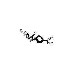 CCCC(CCC)c1ccc(NC(=O)NCC(F)(F)F)cc1